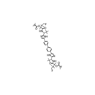 CN(C)C(=O)OC(C)(C(=O)NC(c1ncc(-c2ccc(-c3ccc(-c4cnc(C(NC(=O)C(C)(OC(=O)N(C)C)C(C)(C)CF)C(C)(C)C)[nH]4)cc3)cc2)[nH]1)C(C)(C)C)C(C)(C)CF